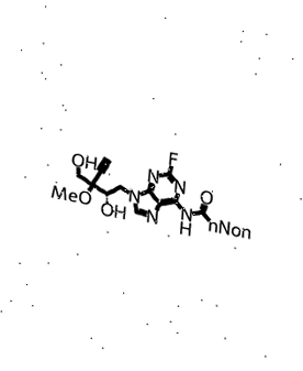 C#CC(CO)(OC)[C@@H](O)Cn1cnc2c(NC(=O)CCCCCCCCC)nc(F)nc21